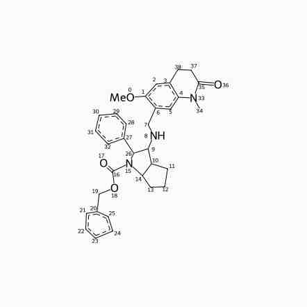 COc1cc2c(cc1CNC1C3CCCC3N(C(=O)OCc3ccccc3)C1c1ccccc1)N(C)C(=O)CC2